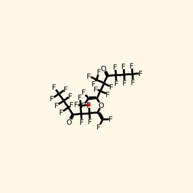 O=C(C(F)(F)C(F)(F)C(F)(F)F)C(F)(C(F)(F)F)C(F)(F)C(OC(=C(F)F)C(F)(F)C(F)(C(=O)C(F)(F)C(F)(F)C(F)(F)F)C(F)(F)F)=C(F)F